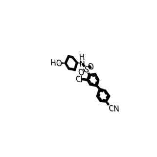 N#Cc1ccc(-c2ccc(S(=O)(=O)N[C@H]3CC[C@H](O)CC3)c(Cl)c2)cc1